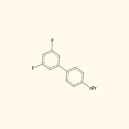 CCCc1ccc(-c2cc(F)cc(F)c2)cc1